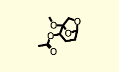 COC12COC(CCC1OC(C)=O)O2